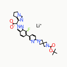 CC(C)(C)OC(=O)N1CC2(C1)CN(c1ccc(-c3ccc4cn(C(C(=O)[O-])c5ncn6c5CCC6)nc4c3F)cn1)C2.[Li+]